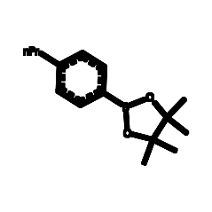 [CH2]CCc1ccc(B2OC(C)(C)C(C)(C)O2)cc1